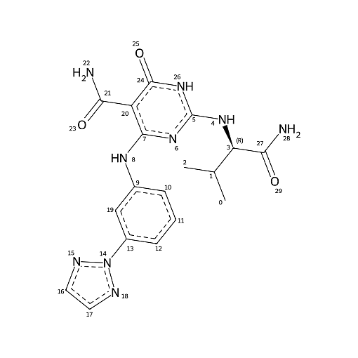 CC(C)[C@@H](Nc1nc(Nc2cccc(-n3nccn3)c2)c(C(N)=O)c(=O)[nH]1)C(N)=O